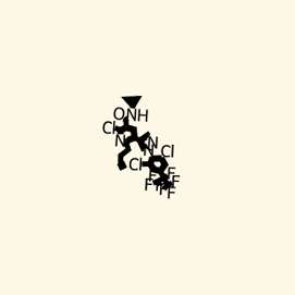 C#CCCc1nc(Cl)c(C(=O)NC2CC2)cc1-c1cnn(-c2c(Cl)cc(C(F)(C(F)(F)F)C(F)(F)F)cc2Cl)c1